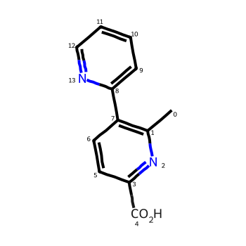 Cc1nc(C(=O)O)ccc1-c1ccccn1